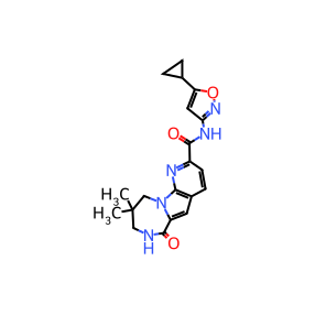 CC1(C)CNC(=O)c2cc3ccc(C(=O)Nc4cc(C5CC5)on4)nc3n2C1